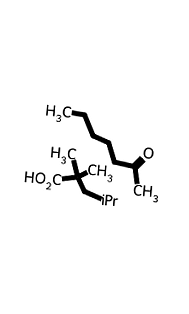 CC(C)CC(C)(C)C(=O)O.CCCCCC(C)=O